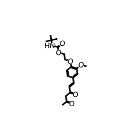 COc1cc(C=CC(=O)CC(C)=O)ccc1OCCOC(=O)NC(C)(C)C